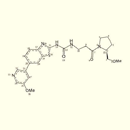 COC[C@@H]1CCCN1C(=O)CCNC(=O)Nc1nc2ccc(-c3cncc(OC)c3)cc2s1